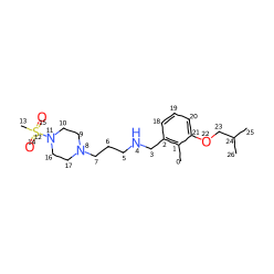 Cc1c(CNCCCN2CCN(S(C)(=O)=O)CC2)cccc1OCC(C)C